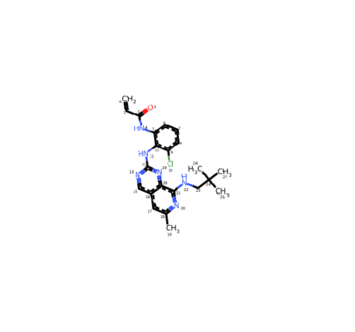 C=CC(=O)Nc1cccc(Cl)c1Nc1ncc2cc(C)nc(NCC(C)(C)C)c2n1